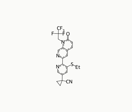 CCSc1cc(C2(C#N)CC2)cnc1-c1cc2ccc(=O)n(CC(F)(F)C(F)(F)F)c2cn1